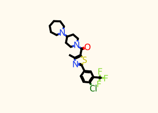 Cc1nc(-c2ccc(Cl)c(C(F)(F)F)c2)sc1C(=O)N1CCC(N2CCCCCC2)CC1